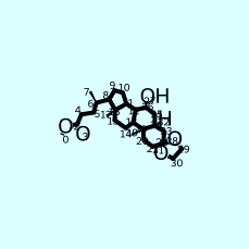 COC(=O)CC[C@@H](C)C1CCC2C3C(CC[C@@]21C)[C@@]1(C)CCC2(C[C@@H]1C[C@H]3O)OCCO2